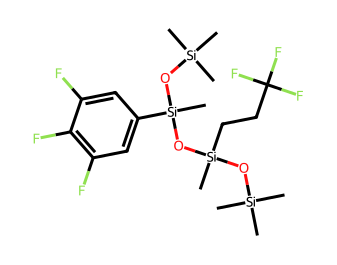 C[Si](C)(C)O[Si](C)(CCC(F)(F)F)O[Si](C)(O[Si](C)(C)C)c1cc(F)c(F)c(F)c1